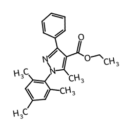 CCOC(=O)c1c(-c2ccccc2)nn(-c2c(C)cc(C)cc2C)c1C